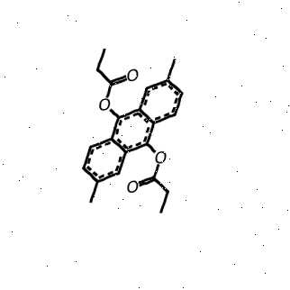 CCC(=O)Oc1c2ccc(C)cc2c(OC(=O)CC)c2ccc(C)cc12